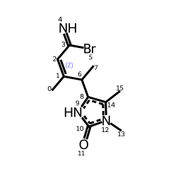 C/C(=C/C(=N)Br)C(C)c1[nH]c(=O)n(C)c1C